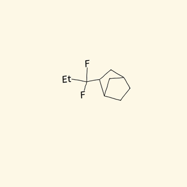 CCC(F)(F)C1CC2CCC1C2